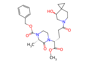 COC(=O)[C@@H](CCC(=O)N1CCC2(CC2)[C@H](O)C1)N1CCN(C(=O)OCc2ccccc2)[C@@H](C)C1=O